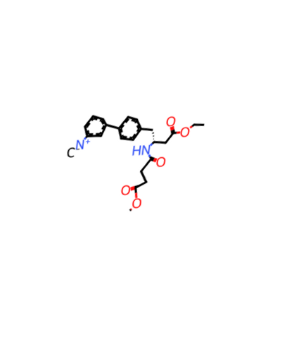 [C-]#[N+]c1cccc(-c2ccc(C[C@H](CC(=O)OCC)NC(=O)CCC(=O)OC)cc2)c1